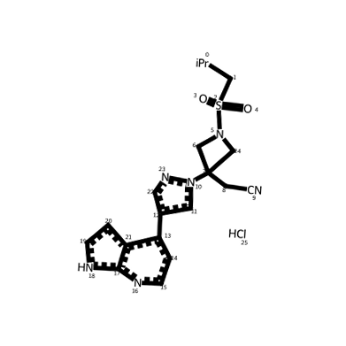 CC(C)CS(=O)(=O)N1CC(CC#N)(n2cc(-c3ccnc4[nH]ccc34)cn2)C1.Cl